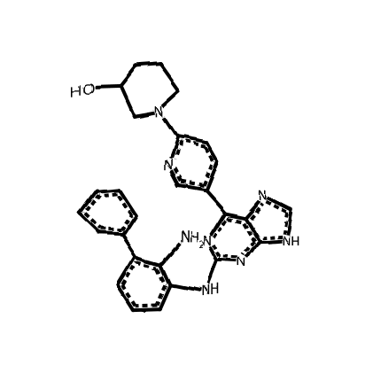 Nc1c(Nc2nc(-c3ccc(N4CCCC(O)C4)nc3)c3nc[nH]c3n2)cccc1-c1ccccc1